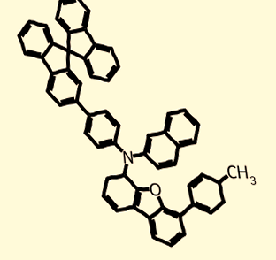 CC1C=CC(c2cccc3c4c(oc23)C(N(c2ccc(-c3ccc5c(c3)C3(c6ccccc6-c6ccccc63)c3ccccc3-5)cc2)c2ccc3ccccc3c2)CC=C4)=CC1